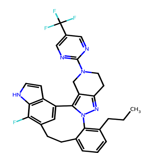 CCCc1cccc2c1-n1nc3c(c1-c1cc(c(F)c4[nH]ccc14)CC2)CN(c1ncc(C(F)(F)F)cn1)CC3